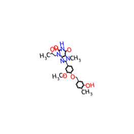 COc1cc(-c2nc3c(c(=O)[nH]c(=O)n3CC(C)O)n2C)ccc1OCc1ccc(C)c(O)c1